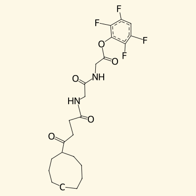 O=C(CCC(=O)C1CCCCCCCC1)NCC(=O)NCC(=O)Oc1c(F)c(F)cc(F)c1F